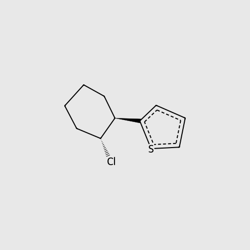 Cl[C@@H]1CCCC[C@H]1c1cccs1